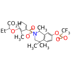 CCC(Oc1cccc(S(=O)(=O)N2CC(C)(C)c3ccc(OS(=O)(=O)C(F)(F)F)cc3C2C)c1C)C(=O)O